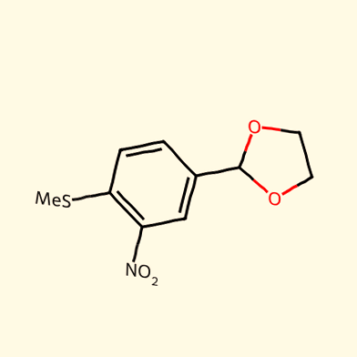 CSc1ccc(C2OCCO2)cc1[N+](=O)[O-]